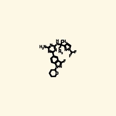 CC(C)(Nc1nc(N)nc(-c2ccc3c(c2)c(F)nn3C2CCCCO2)n1)c1ccn(C(F)F)n1